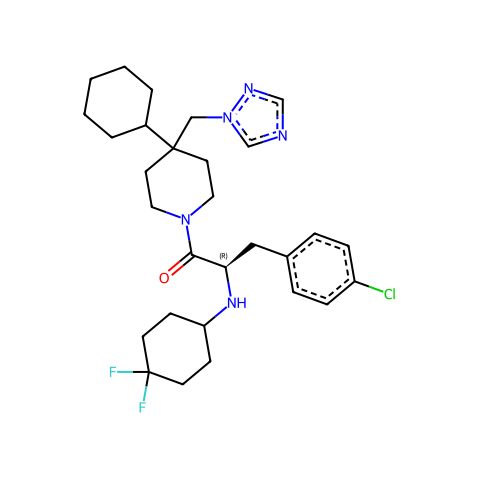 O=C([C@@H](Cc1ccc(Cl)cc1)NC1CCC(F)(F)CC1)N1CCC(Cn2cncn2)(C2CCCCC2)CC1